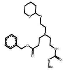 CC(C)(C)OC(=O)NCCN(CCOC1CCCCO1)CCC(=O)OCc1ccccc1